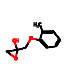 Cc1ccccc1OCC1(O)CO1